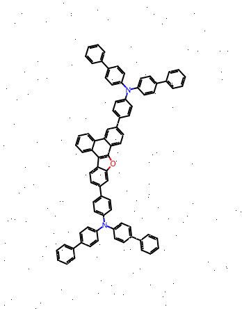 c1ccc(-c2ccc(N(c3ccc(-c4ccccc4)cc3)c3ccc(-c4ccc5c(c4)oc4c6ccc(-c7ccc(N(c8ccc(-c9ccccc9)cc8)c8ccc(-c9ccccc9)cc8)cc7)cc6c6ccccc6c54)cc3)cc2)cc1